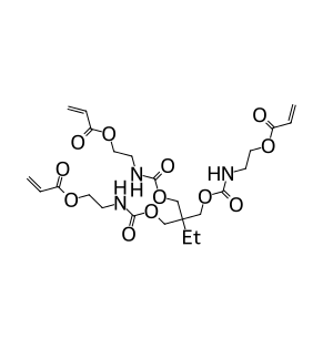 C=CC(=O)OCCNC(=O)OCC(CC)(COC(=O)NCCOC(=O)C=C)COC(=O)NCCOC(=O)C=C